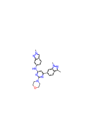 Cc1nn(C)c2cc(-c3cc(Nc4ccc5cn(C)nc5c4)nc(N4CCOCC4)n3)ccc12